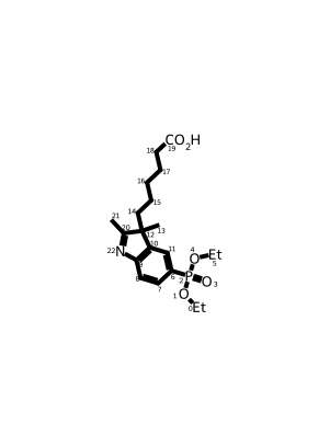 CCOP(=O)(OCC)c1ccc2c(c1)C(C)(CCCCCC(=O)O)C(C)=N2